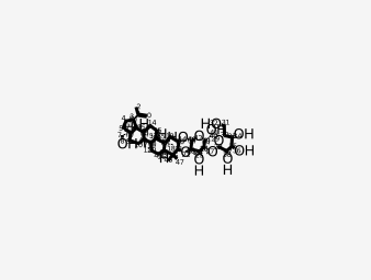 C=C(C)[C@@H]1CC[C@]2(CO)CC[C@]3(C)[C@H](CC[C@@H]4[C@@]5(C)CCC(O[C@@H]6[C@@H](O)[C@@H](OC7OC(CO)C(O)C(O)C7O)[C@@H](CO)O[C@H]6O)C(C)(C)[C@@H]5CC[C@]43C)[C@@H]12